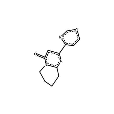 O=c1cc(-c2ccncn2)nc2n1CCCC2